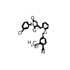 COc1cc(COc2ccccc2/C=C2\CC(=O)N(c3cccc(Cl)c3)C2=O)ccc1C#N